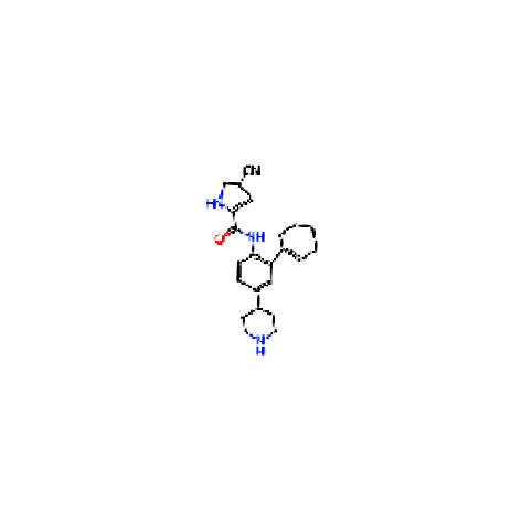 N#CC1C=C(C(=O)Nc2ccc(C3CCNCC3)cc2C2=CCCCC2)NC1